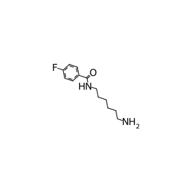 NCCCCCCNC(=O)c1ccc(F)cc1